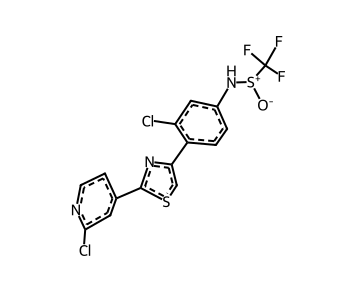 [O-][S+](Nc1ccc(-c2csc(-c3ccnc(Cl)c3)n2)c(Cl)c1)C(F)(F)F